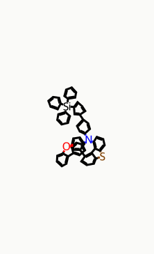 c1ccc(-c2cccc3sc4cccc(N(c5ccc(-c6cccc([Si](c7ccccc7)(c7ccccc7)c7ccccc7)c6)cc5)c5ccc6c(c5)oc5ccccc56)c4c23)cc1